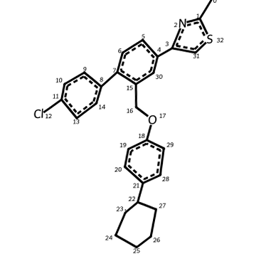 Cc1nc(-c2ccc(-c3ccc(Cl)cc3)c(COc3ccc(C4[CH]CCCC4)cc3)c2)cs1